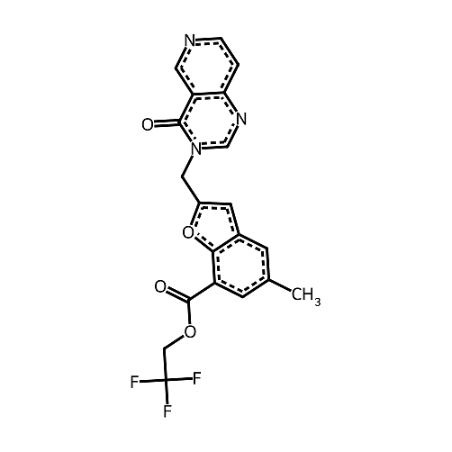 Cc1cc(C(=O)OCC(F)(F)F)c2oc(Cn3cnc4ccncc4c3=O)cc2c1